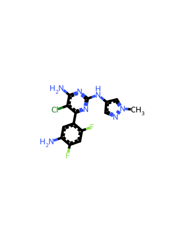 Cn1cc(Nc2nc(N)c(Cl)c(-c3cc(N)c(F)cc3F)n2)cn1